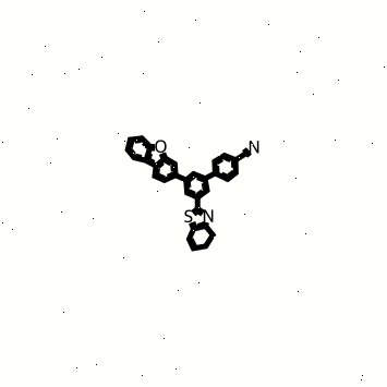 N#Cc1ccc(-c2cc(-c3ccc4c(c3)oc3ccccc34)cc(-c3nc4c(s3)C=CCC4)c2)cc1